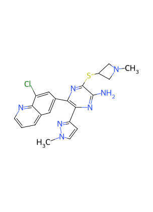 CN1CC(Sc2nc(-c3cc(Cl)c4ncccc4c3)c(-c3ccn(C)n3)nc2N)C1